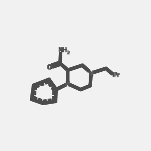 CC(C)CN1CCN(c2ccccc2)C(C(N)=O)C1